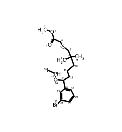 COC(=O)CSCC(C)(C)CCCC(OPI)c1cccc(Br)c1